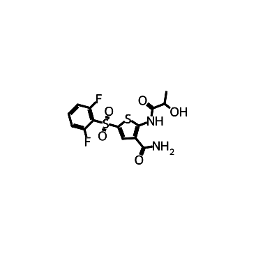 CC(O)C(=O)Nc1sc(S(=O)(=O)c2c(F)cccc2F)cc1C(N)=O